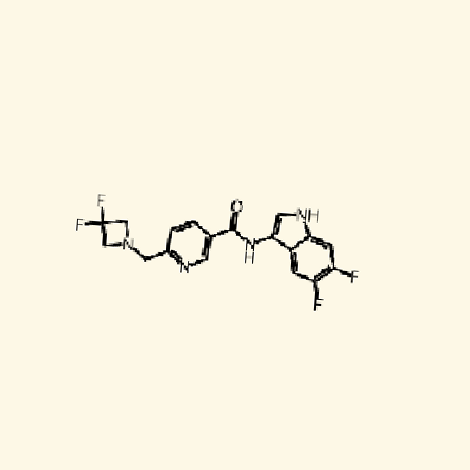 O=C(Nc1c[nH]c2cc(F)c(F)cc12)c1ccc(CN2CC(F)(F)C2)nc1